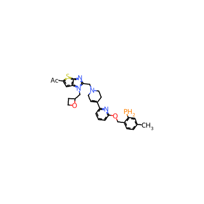 CC(=O)c1cc2c(nc(CN3CC=C(c4cccc(OCc5ccc(C)cc5P)n4)CC3)n2CC2CCO2)s1